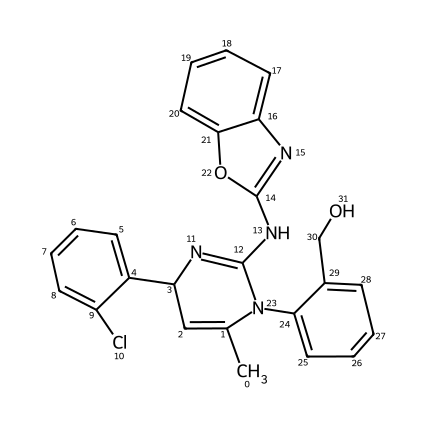 CC1=CC(c2ccccc2Cl)N=C(Nc2nc3ccccc3o2)N1c1ccccc1CO